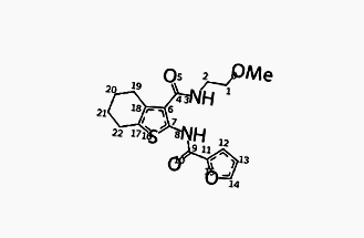 COCCNC(=O)c1c(NC(=O)c2ccco2)sc2c1CCCC2